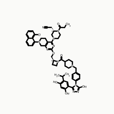 CCC(=O)N1CCN(c2nc(OC[C@@H]3CCN3C(=O)C3CCN(Cc4ccc(-n5c(O)nnc5-c5cc(C(C)C)c(O)cc5O)cc4)CC3)nc3c2CCN(c2cccc4cccc(Cl)c24)C3)C[C@@H]1CC#N